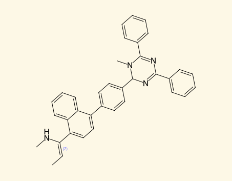 C/C=C(\NC)c1ccc(-c2ccc(C3N=C(c4ccccc4)N=C(c4ccccc4)N3C)cc2)c2ccccc12